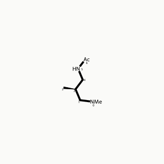 CNC[C@@H](C)CNC(C)=O